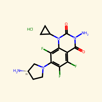 Cl.N[C@H]1CCN(c2c(F)c(F)c3c(=O)n(N)c(=O)n(C4CC4)c3c2F)C1